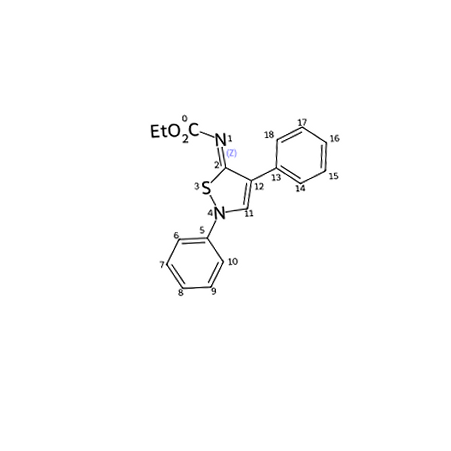 CCOC(=O)/N=c1\sn(-c2ccccc2)cc1-c1ccccc1